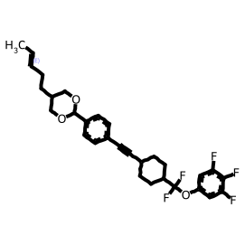 C/C=C/CCC1COC(c2ccc(C#CC3CCC(C(F)(F)Oc4cc(F)c(F)c(F)c4)CC3)cc2)OC1